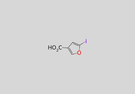 O=C(O)c1coc(I)c1